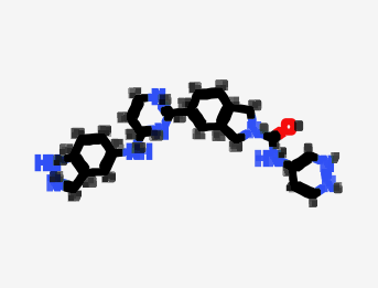 O=C(Nc1ccnnc1)N1Cc2ccc(-c3nccc(Nc4ccc5[nH]ncc5c4)n3)cc2C1